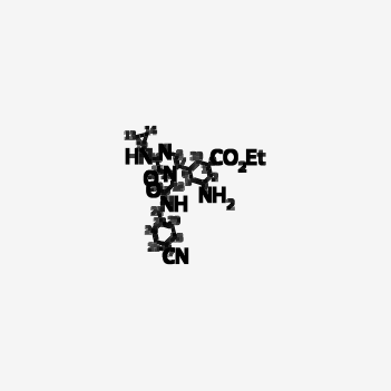 CCOC(=O)c1cc(N)cc(-c2cnc(NC3CC3)c(=O)n2CC(=O)NCc2ccc(C#N)cc2)c1